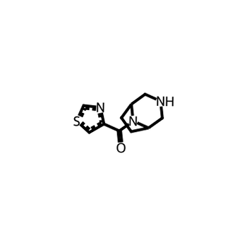 O=C(c1cscn1)N1C2CCC1CNC2